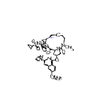 COc1ccc2c(OC3CC4C(=O)NC5(C(=O)NS(=O)(=O)C6CC6)CC5/C=C/CCCCN(C)C(=O)N4C3)nc(-n3cccn3)cc2c1